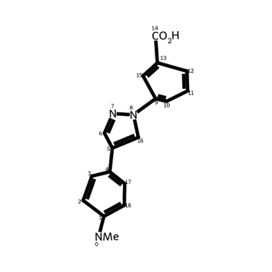 CNc1ccc(-c2cnn(-c3cccc(C(=O)O)c3)c2)cc1